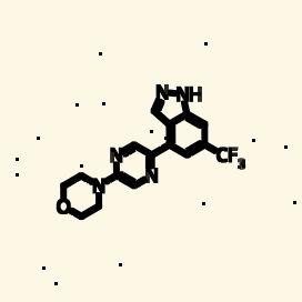 FC(F)(F)c1cc(-c2cnc(N3CCOCC3)cn2)c2cn[nH]c2c1